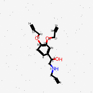 C#CCNCC(O)c1ccc(OCC#C)c(OCC#C)c1